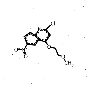 COCCOc1cc(Cl)nc2ccc([N+](=O)[O-])cc12